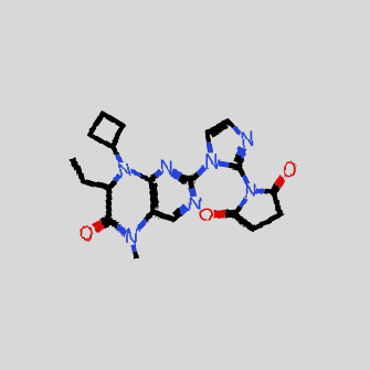 CCC1C(=O)N(C)c2cnc(-n3ccnc3N3C(=O)CCC3=O)nc2N1C1CCC1